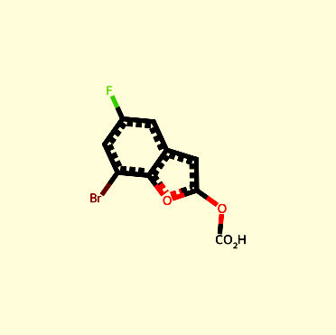 O=C(O)Oc1cc2cc(F)cc(Br)c2o1